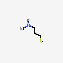 CCN(CC)CCC[S]